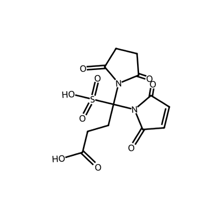 O=C(O)CCC(N1C(=O)C=CC1=O)(N1C(=O)CCC1=O)S(=O)(=O)O